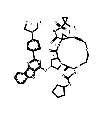 CCN(CC)c1ccc(-c2nc(O[C@@H]3C[C@H]4C(=O)N[C@]5(C(=O)NS(=O)(=O)C6(C)CC6)C[C@H]5/C=C\CCCCC[C@H](NC(=O)OC5CCCC5)C(=O)N4C3)c3oc4ccccc4c3n2)cc1